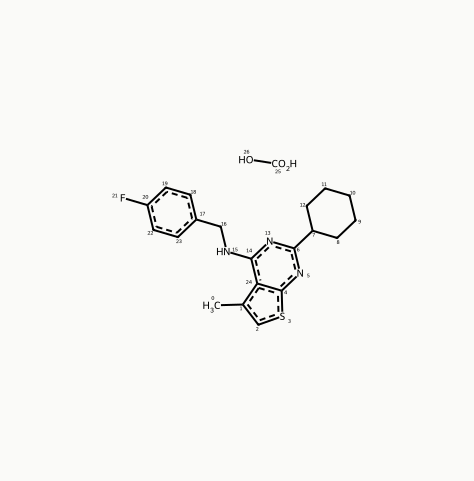 Cc1csc2nc(C3CCCCC3)nc(NCc3ccc(F)cc3)c12.O=C(O)O